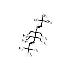 CCC(CC)(/N=C/C(C)(C)C)C(CC)(CC)/N=C/C(C)(C)C